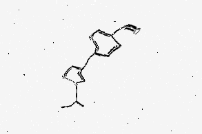 CC(C)n1cc(-c2ccc(C=O)cn2)cn1